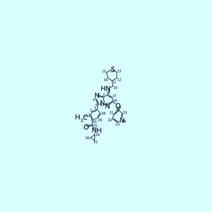 Cc1cc(-c2cnc3c(NCC4CCSCC4)cc(Oc4cccnc4)nn23)ccc1C(=O)NC1CC1